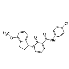 COc1cccc2c1CCC2n1cccc(C(=O)Nc2ccc(Cl)cc2)c1=O